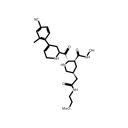 COCCNC(=O)C[C@H]1CN[C@H](C(=O)C2CC(c3ccc(C#N)cc3C)=CCN2)[C@@H](C(=O)NO)C1